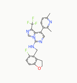 Cc1ccc(-c2cnc(NCc3c(F)ccc4c3CCO4)n3cnc(C(F)(F)F)c23)c(C)n1